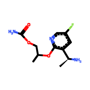 CC(COC(N)=O)Oc1ncc(F)cc1[C@@H](C)N